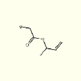 C=CC(C)OC(=O)C[O]